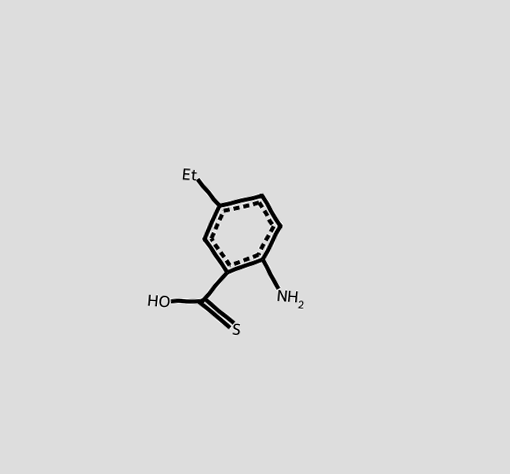 CCc1ccc(N)c(C(O)=S)c1